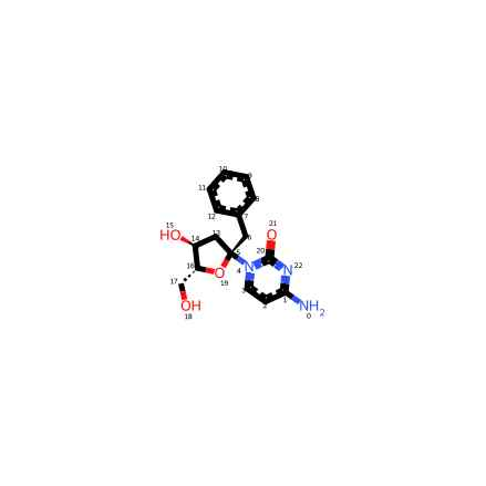 Nc1ccn([C@@]2(Cc3ccccc3)C[C@H](O)[C@@H](CO)O2)c(=O)n1